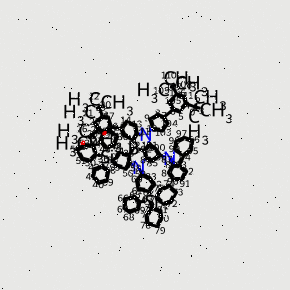 CC(C)(C)c1cc(-c2ccc(N3c4ccc(-c5cc(C(C)(C)C)cc(C(C)(C)C)c5)cc4B4c5cc([Si](c6ccccc6)(c6ccccc6)c6ccccc6)ccc5N(c5ccc([Si](c6ccccc6)(c6ccccc6)c6ccccc6)cc5)c5cc(-n6c7ccccc7c7ccccc76)cc3c54)cc2)cc(C(C)(C)C)c1